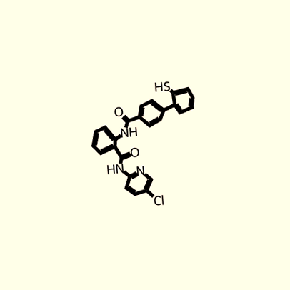 O=C(Nc1ccccc1C(=O)Nc1ccc(Cl)cn1)c1ccc(-c2ccccc2S)cc1